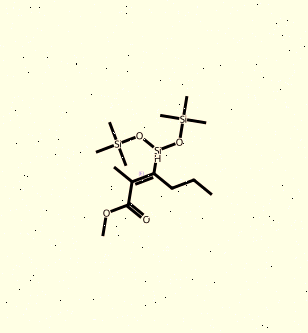 CCC/C(=C(/C)C(=O)OC)[SiH](O[Si](C)(C)C)O[Si](C)(C)C